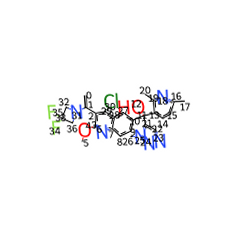 C=C(c1c(OC)nc2ccc(C(O)(c3ccc(C)nc3C)c3cnnn3C)cc2c1Cl)N1CC(F)(F)C1